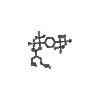 CCCC(CC)C(=O)OC(C1CCC(C(O)(C(F)(F)F)C(F)(F)F)CC1)(C(F)(F)F)C(F)(F)F